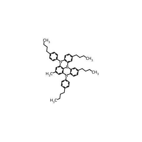 CCCCc1ccc(N2c3ccc(CCCC)cc3B3c4cc(CCCC)ccc4N(c4ccc(CCCC)cc4)c4cc(C)cc2c43)cc1